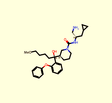 COCCCC[C@@](O)(c1ccccc1Oc1ccccc1)[C@@H]1CCCN(C(=O)N[C@H](CN)CC2CC2)C1